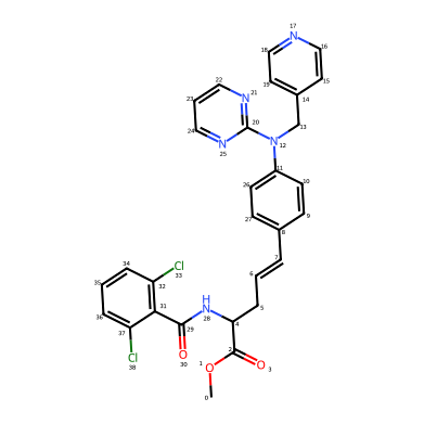 COC(=O)C(CC=Cc1ccc(N(Cc2ccncc2)c2ncccn2)cc1)NC(=O)c1c(Cl)cccc1Cl